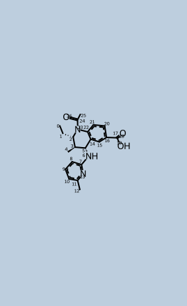 CC[C@H]1[C@H](C)[C@@H](Nc2cccc(C)n2)c2cc(C(=O)O)ccc2N1C(C)=O